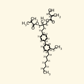 C=C(C)C(=O)OCC(C)(CCc1ccc(-c2ccc(CCCCCCC)c(CC)c2)cc1)COC(=O)C(=C)CO